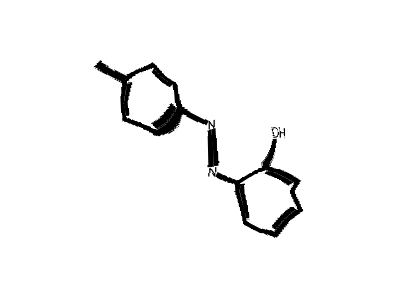 Cc1ccc(/N=N/c2ccccc2O)cc1